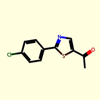 CC(=O)c1cnc(-c2ccc(Cl)cc2)s1